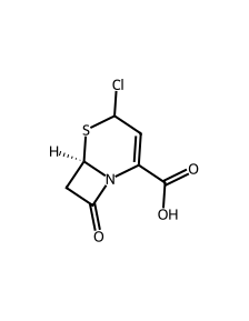 O=C(O)C1=CC(Cl)S[C@@H]2CC(=O)N12